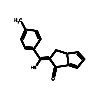 Cc1ccc(C(S)=C2Cn3cccc3C2=O)cc1